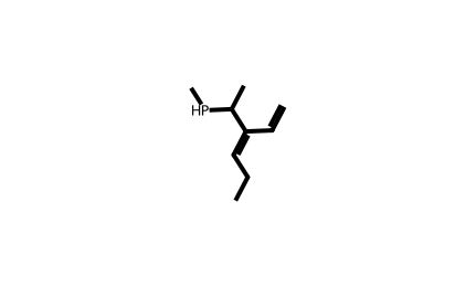 C=C/C(=C\CC)C(C)PC